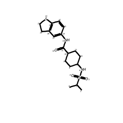 CC(C)S(=O)(=O)NC1CCC(C(=O)Nc2ccc3c(c2)CCS3)CC1